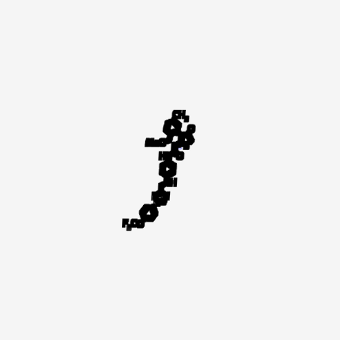 COCc1ccc(C)cc1N1C(=O)CS/C1=N\C(=O)Nc1ccc(NCc2ncn(-c3ccc(OC(F)(F)F)cc3)n2)cc1